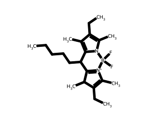 CCCCCC1C2=[N+](C(C)=C(CC)C2C)[B-](F)(F)n2c(C)c(CC)c(C)c21